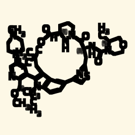 CCn1c(-c2cc(N3CCN(C)CC3)cnc2[C@H](C)OC)c2c3cc(ccc31)-c1csc(n1)C[C@H](NC(=O)N1CCOC[C@@H]1C)C(=O)N1CCC[C@H](N1)C(=O)OCC(C)(C)C2